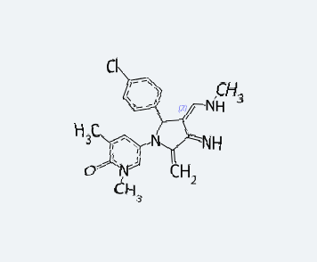 C=C1C(=N)/C(=C\NC)C(c2ccc(Cl)cc2)N1c1cc(C)c(=O)n(C)c1